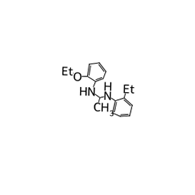 CCOc1ccccc1NC(C)Nc1ccccc1CC